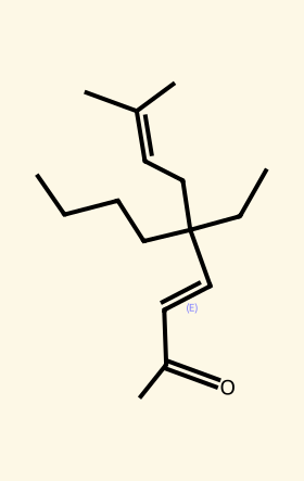 CCCCC(/C=C/C(C)=O)(CC)CC=C(C)C